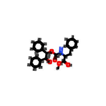 COC(=O)C(Cc1ccccc1)NC(=O)OC(C(=O)c1ccccc1)c1ccccc1